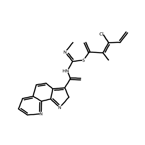 C=C/C(Cl)=C(\C)C(=C)S/C(=N\C)NC(=C)C1=c2ccc3cccnc3c2=NC1